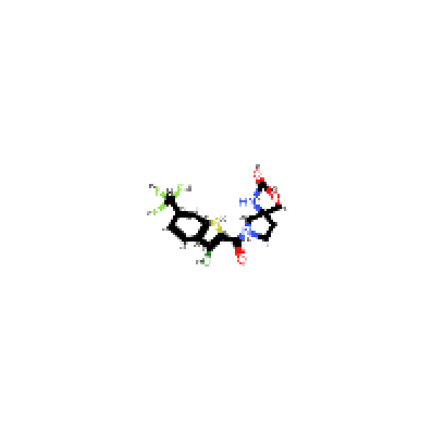 O=C1NC2(CCN(C(=O)c3sc4cc(C(F)(F)F)ccc4c3Cl)C2)CO1